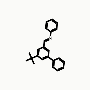 CC(C)(C)c1cc(C=Nc2ccccc2)cc(-c2ccccc2)c1